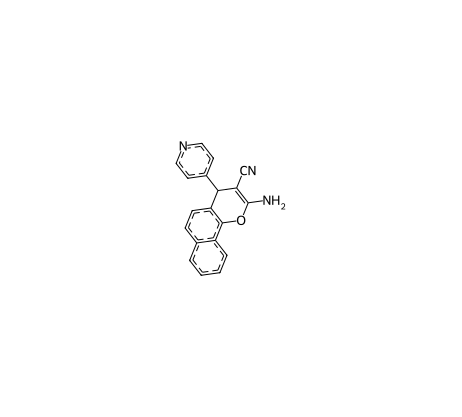 N#CC1=C(N)Oc2c(ccc3ccccc23)C1c1ccncc1